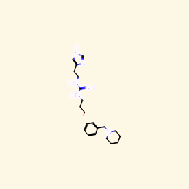 N=C(NCCCOc1cccc(CN2CCCCC2)c1)NCCc1c[nH]cn1